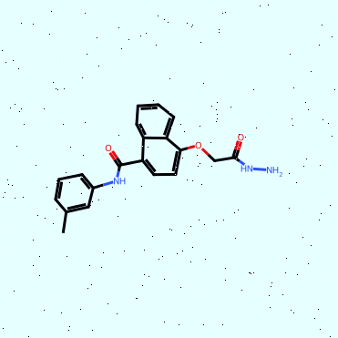 Cc1cccc(NC(=O)c2ccc(OCC(=O)NN)c3ccccc23)c1